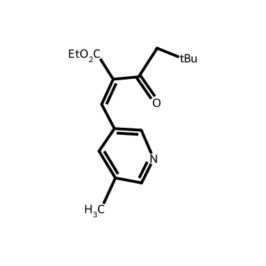 CCOC(=O)C(=Cc1cncc(C)c1)C(=O)CC(C)(C)C